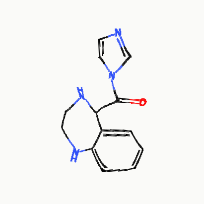 O=C(C1NCCNc2ccccc21)n1ccnc1